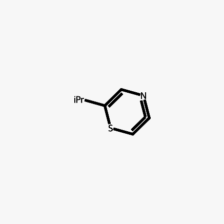 CC(C)C1=CN=C=CS1